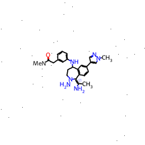 CNC(=O)Cc1cccc(NC2CCN(N)/C(=C(/C)N)c3ccc(-c4cnn(C)c4)cc32)c1